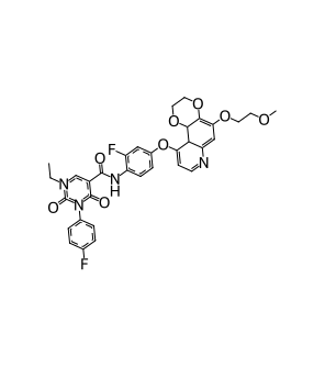 CCn1cc(C(=O)Nc2ccc(OC3=CC=NC4=CC(OCCOC)=C5OCCOC5C43)cc2F)c(=O)n(-c2ccc(F)cc2)c1=O